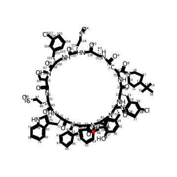 C[C@@H]1NC(=O)C[C@@H](C(=O)N2CCC(C(C)(C)C)CC2)NC(=O)[C@H](Cc2cccc(Cl)c2)N[C@@](Cc2ccc(O)c(F)c2)(N=O)NC2=N[C@@]2(Cc2ccccc2)N(C)C(=O)[C@H](Cc2ccccc2)N(C)C(=O)[C@H](Cc2c[nH]c3ccccc23)NC(=O)[C@H](CC[S+]=O)NC(=O)C(CO)N(C)C(=O)[C@H](Cc2cccc(Cl)c2)NC(=O)[C@H](CC[S+]=O)NC1=O